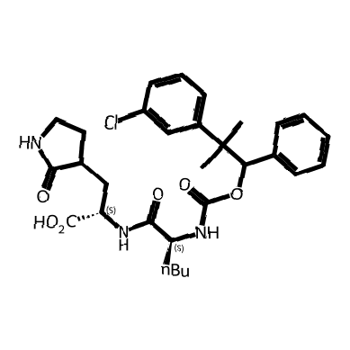 CCCC[C@H](NC(=O)OC(c1ccccc1)C(C)(C)c1cccc(Cl)c1)C(=O)N[C@@H](CC1CCNC1=O)C(=O)O